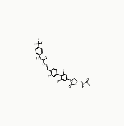 CC(=O)NC[C@H]1CN(c2cc(F)c(-c3ccc(C=NOC(=O)Nc4ccc(C(F)(F)F)cc4)c(F)c3)c(F)c2)C(=O)O1